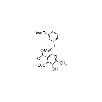 COC(=O)c1c(CCc2cccc(OC)c2)nc(C)c(O)c1C(=O)O